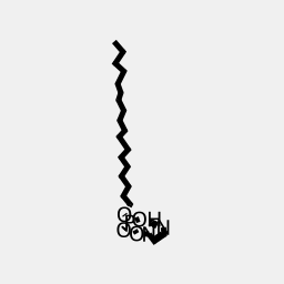 CCCCCCCCCCCCCCCCCCOP(=O)(O)On1ccnc1